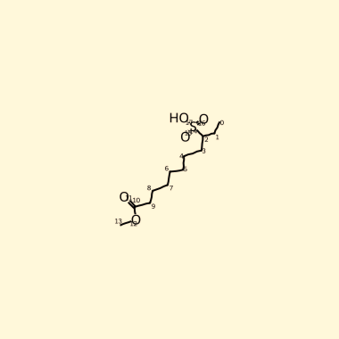 CCC(CCCCCCCC(=O)OC)S(=O)(=O)O